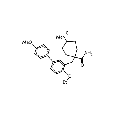 CCOc1ccc(-c2ccc(OC)cc2)cc1CC1(C(N)=O)CCC(NC)CC1.Cl